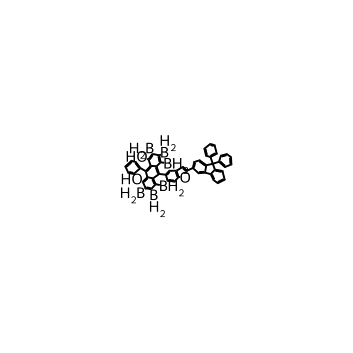 Bc1c(B)c(O)c2c(-c3ccccc3)c3c(O)c(B)c(B)c(B)c3c(-c3ccc4oc(-c5ccc6c(c5)-c5ccccc5C6(c5ccccc5)c5ccccc5)cc4c3)c2c1B